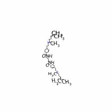 CC(C)=CCC/C(C)=C/CCC1=CCC(C(=O)NCCCNC(=O)C2C=CC(CC/C=C(\C)CCC=C(C)C)CC2)CC1